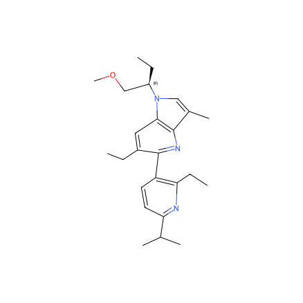 CCc1cc2c(nc1-c1ccc(C(C)C)nc1CC)c(C)cn2[C@H](CC)COC